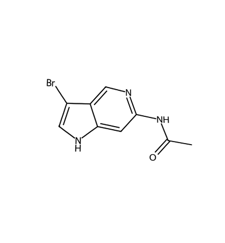 CC(=O)Nc1cc2[nH]cc(Br)c2cn1